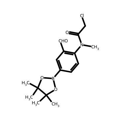 CN(C(=O)CCl)c1ccc(B2OC(C)(C)C(C)(C)O2)cc1C=O